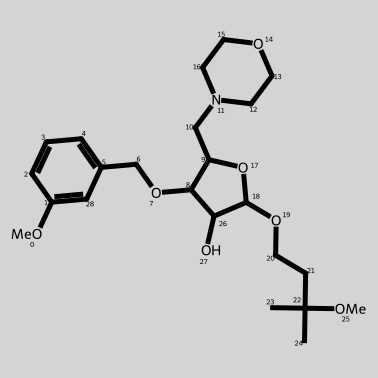 COc1cccc(COC2C(CN3CCOCC3)OC(OCCC(C)(C)OC)C2O)c1